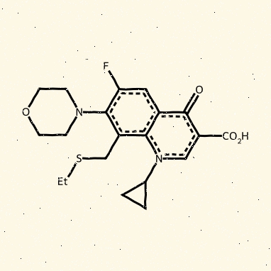 CCSCc1c(N2CCOCC2)c(F)cc2c(=O)c(C(=O)O)cn(C3CC3)c12